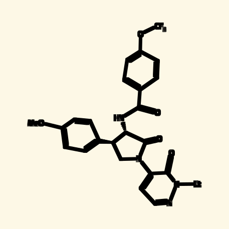 CCn1nccc(N2C[C@@H](c3ccc(OC)cc3)[C@H](NC(=O)c3ccc(OC(F)(F)F)cc3)C2=O)c1=O